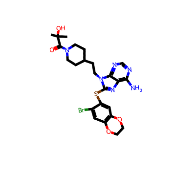 CC(C)(O)C(=O)N1CCC(CCn2c(Sc3cc4c(cc3Br)OCCO4)nc3c(N)ncnc32)CC1